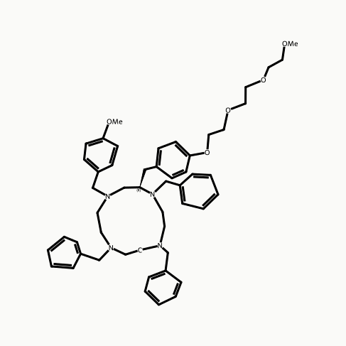 COCCOCCOCCOc1ccc(C[C@@H]2CN(Cc3ccc(OC)cc3)CCN(Cc3ccccc3)CCN(Cc3ccccc3)CCN2Cc2ccccc2)cc1